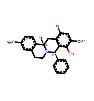 COc1ccc2c(c1)CCN1[C@H](c3ccccc3)c3c(O)c(OC)cc(Br)c3C[C@@H]21